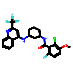 COc1ccc(F)c(C(=O)N[C@@H]2CCC[C@H](Nc3cc(C(F)(F)F)nc4ccccc34)C2)c1Cl